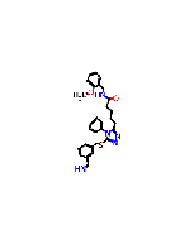 COc1ccccc1CNC(=O)CCCCc1nnc(SCc2cccc(C=N)c2)n1-c1ccccc1